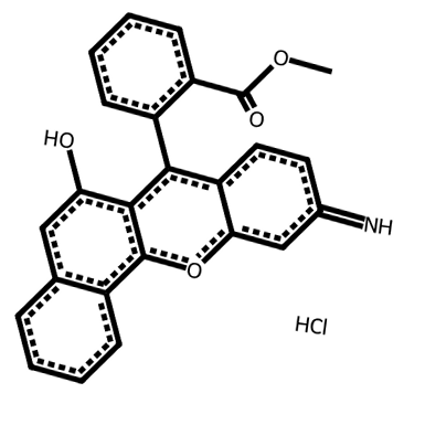 COC(=O)c1ccccc1-c1c2ccc(=N)cc-2oc2c1c(O)cc1ccccc12.Cl